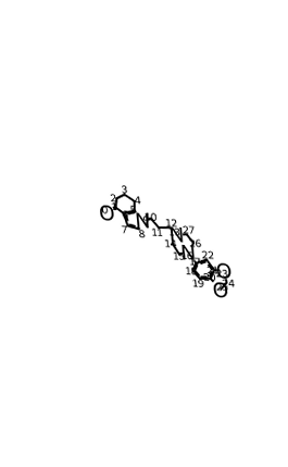 O=C1CCCc2c1ccn2CCCN1CCN(c2ccc3c(c2)OCO3)CC1